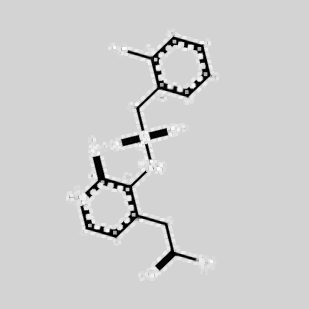 O=C(O)Cc1cc[nH]c(=O)c1NS(=O)(=O)Cc1ccccc1F